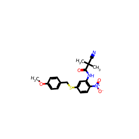 COc1ccc(CSc2ccc([N+](=O)[O-])c(NC(=O)C(C)(C)C#N)c2)cc1